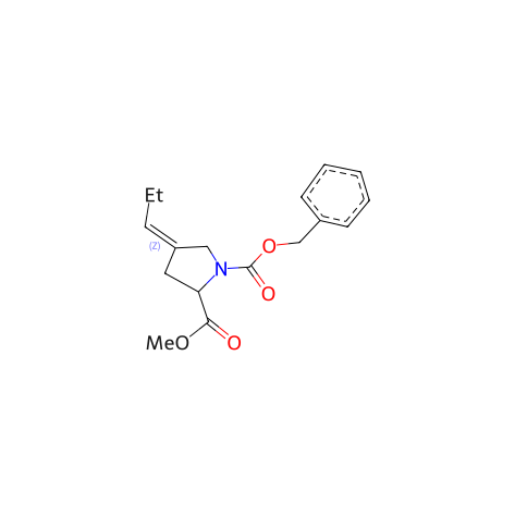 CC/C=C1/CC(C(=O)OC)N(C(=O)OCc2ccccc2)C1